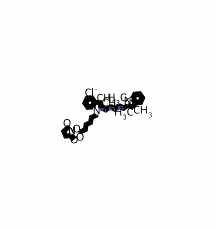 C[N+]1=C(/C=C/C=C/C=C2/N(CCCCCC(=O)ON3C(=O)CCC3=O)c3ccccc3C2(C)C)C(C)(C)c2ccccc21.[Cl-]